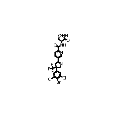 O=C(NC1CONC1=O)c1ccc(C2=NCC(c3cc(Cl)c(Br)c(Cl)c3)(C(F)(F)F)C2)cn1